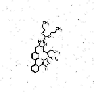 CCCOC(OCCC)c1nc(Cc2ccc(-c3ccccc3-c3nnn[nH]3)cc2)n(CC(CC)CC)n1